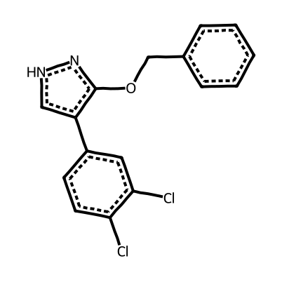 Clc1ccc(-c2c[nH]nc2OCc2ccccc2)cc1Cl